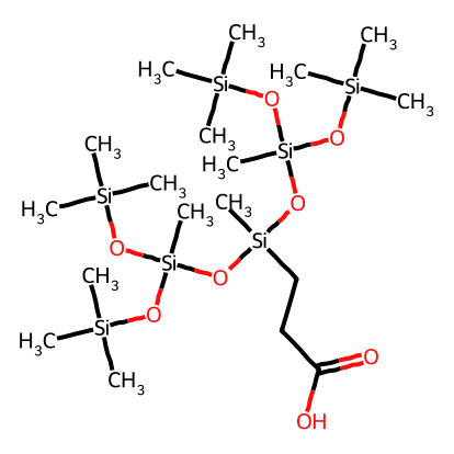 C[Si](C)(C)O[Si](C)(O[Si](C)(C)C)O[Si](C)(CCC(=O)O)O[Si](C)(O[Si](C)(C)C)O[Si](C)(C)C